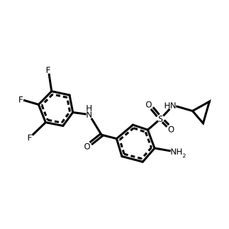 Nc1ccc(C(=O)Nc2cc(F)c(F)c(F)c2)cc1S(=O)(=O)NC1CC1